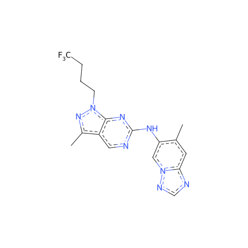 Cc1cc2ncnn2cc1Nc1ncc2c(C)nn(CCCC(F)(F)F)c2n1